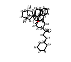 Cc1nc2ccccc2n1C1C[C@H]2CC[C@@H](C1)N2CCC1(c2ccccc2)CCN(C(=O)CCC2CCCCC2)CC1